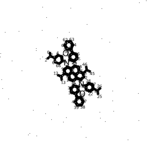 CC(C)C1=CC=C(N(c2cc(C(C)C)c3ccc4c(N(c5ccc(C(C)C)cc5)c5cccc6c5oc5ccccc56)cc(C(C)C)c5ccc2c3c54)c2cccc3c2oc2ccccc23)CC1